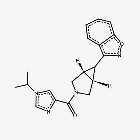 CC(C)n1cnc(C(=O)N2C[C@@H]3C(c4noc5ccccc45)[C@@H]3C2)c1